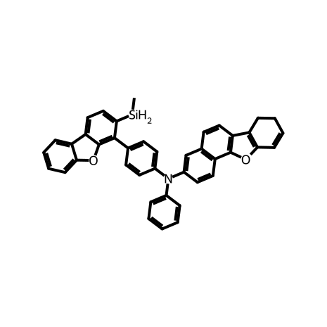 C[SiH2]c1ccc2c(oc3ccccc32)c1-c1ccc(N(c2ccccc2)c2ccc3c(ccc4c5c(oc43)C=CCC5)c2)cc1